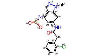 CCCn1ncc2c(N=S(=O)=O)cc(NC(=O)Cc3ccccc3Cl)cc21